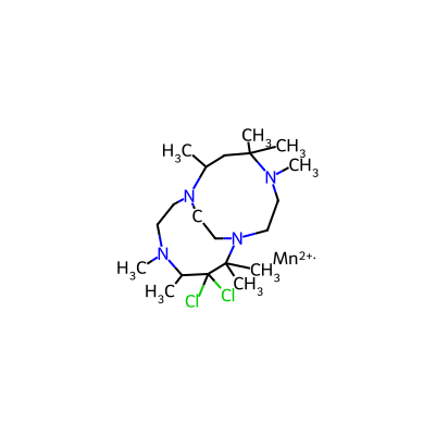 CC1CC(C)(C)N(C)CCN2CCN1CCN(C)C(C)C(Cl)(Cl)C2(C)C.[Mn+2]